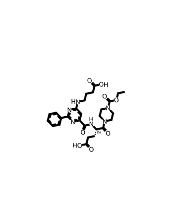 CCOC(=O)N1CCN(C(=O)[C@H](CCC(=O)O)NC(=O)c2cc(NCCCC(=O)O)nc(-c3ccccc3)n2)CC1